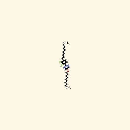 CCCCCCCC/C=C/c1ccc(-c2ncc(OCCCCCCCCCC)cn2)c(F)c1F